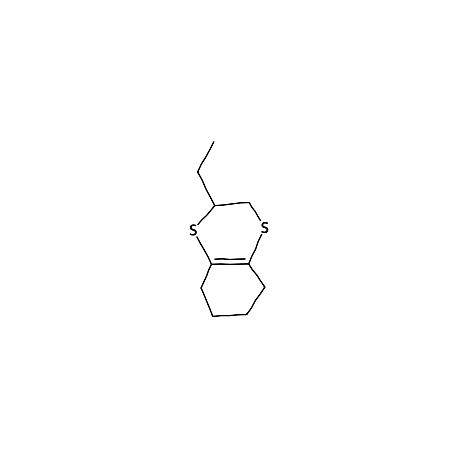 CCC1CSC2=C(CCCC2)S1